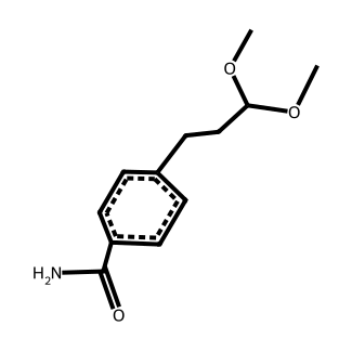 COC(CCc1ccc(C(N)=O)cc1)OC